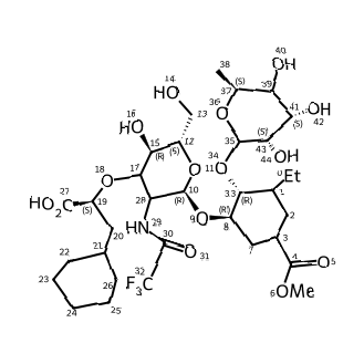 CCC1CC(C(=O)OC)C[C@@H](O[C@@H]2O[C@@H](CO)[C@H](O)C(O[C@@H](CC3CCCCC3)C(=O)O)C2NC(=O)C(F)(F)F)[C@@H]1OC1O[C@@H](C)C(O)[C@H](O)[C@@H]1O